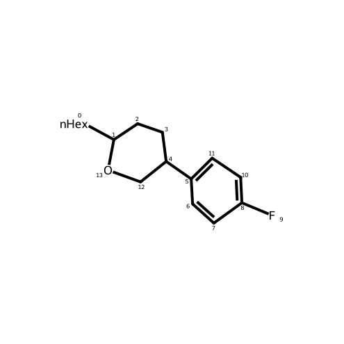 CCCCCCC1CCC(c2ccc(F)cc2)CO1